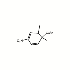 COC1(C)C=CC([N+](=O)[O-])=CC1C